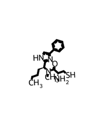 CCCC[C@@H](c1nc(-c2ccccc2)c[nH]1)N(C)C(=O)[C@@H](N)CS